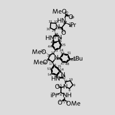 COC(=O)N[C@H](C(=O)N1CCC[C@H]1c1nc2cc([C@H]3[C@@H](OC)[C@H](OC)[C@H](c4ccc5nc([C@@H]6CCCN6C(=O)[C@@H](NC(=O)OC)C(C)C)[nH]c5c4)N3c3ccc(C(C)(C)C)cc3)ccc2[nH]1)C(C)C